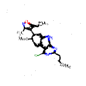 COCCc1nc(Cl)c2c(n1)[nH]c1cc(-c3c(C)noc3C)c(OC)cc12